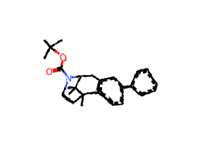 CC(C)(C)OC(=O)N1CCC2(C)c3ccc(-c4ccccc4)cc3CC1C2(C)C